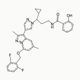 Cc1cc(OCc2c(F)cccc2F)n2nc(C)c(-c3cnn(C(CCNC(=O)c4ccccc4O)C4CC4)c3)c2c1